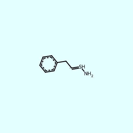 N[SH]=[C]Cc1ccccc1